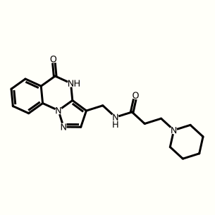 O=C(CCN1CCCCC1)NCc1cnn2c1[nH]c(=O)c1ccccc12